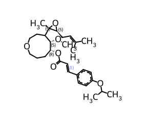 CO[C@H]1C([C@]2(C)O[C@H]2CC=C(C)C)CCOCCC[C@H]1OC(=O)/C=C/c1ccc(OC(C)C)cc1